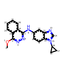 COc1nnc(Nc2ccc3c(c2)ncn3C2CC2)c2ccccc12